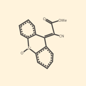 COC(=O)C(C#N)=C1c2ccccc2[S+]([O-])c2ccccc21